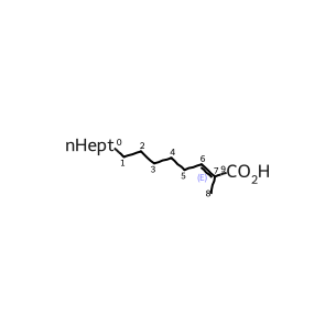 CCCCCCCCCCCC/C=C(\C)C(=O)O